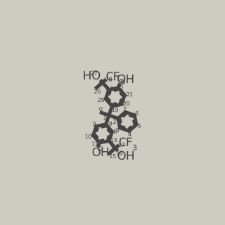 CC(c1ccccc1)(c1ccc(O)c(C(C)(O)C(F)(F)F)c1)c1ccc(O)c(C(C)(O)C(F)(F)F)c1